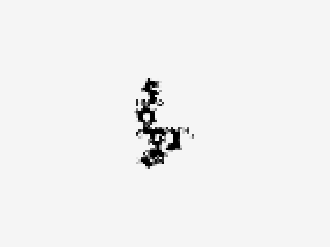 C[C@H](Nc1cc(C(=O)N2CCC(NC(=O)c3cccs3)CC2)nc(-c2cnn3ccsc23)n1)C1CC1